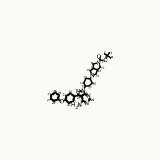 CC(C)(C)OC(=O)N1CC2CN(C3CCC(n4nc(-c5ccc(Oc6ccccc6)cc5)c5c(N)ncnc54)CC3)CC2C1